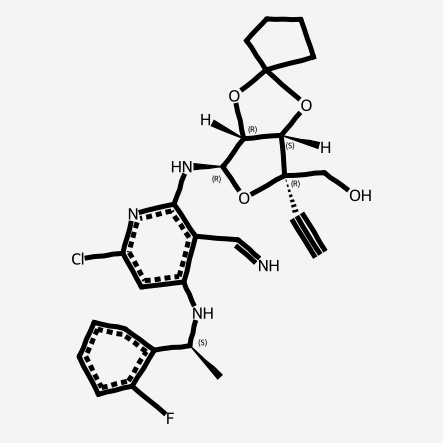 C#C[C@]1(CO)O[C@@H](Nc2nc(Cl)cc(N[C@@H](C)c3ccccc3F)c2C=N)[C@@H]2OC3(CCCC3)O[C@@H]21